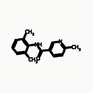 Cc1ccc(C(=O)Nc2c(C)cccc2C)cn1